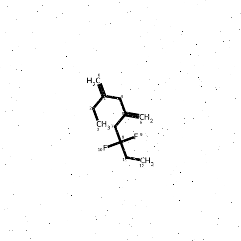 C=C(CC)CC(=C)CC(F)(F)CC